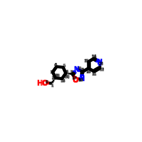 OC[C@@H]1CCC[C@H](c2nc(-c3ccncc3)no2)C1